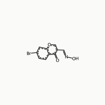 O=c1c(C=NO)coc2cc(Br)ccc12